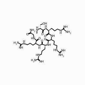 CN[C@H](CO)C(=O)N[C@@H](CCCNC(=N)N)C(=O)NC(CCCNC(=N)N)C(=O)N[C@@H](CCCNC(=N)N)C(=O)NC(CCCNC(=N)N)C(=O)NCC(N)=O